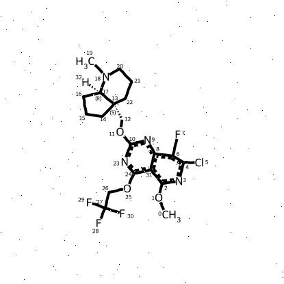 COc1nc(Cl)c(F)c2nc(OC[C@]34CCC[C@H]3N(C)CCC4)nc(OCC(F)(F)F)c12